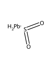 O=S=O.[PbH2]